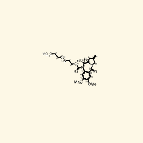 C=C1C[C@H]2C(O)N(C(=O)OCCSSCCC(=O)O)c3cc(OC)c(OC)cc3C(=O)N2C1